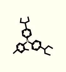 CCC(CC)c1ccc(N(c2ccc(C(CC)CC)cc2)c2ccc(C)cc2C)cc1